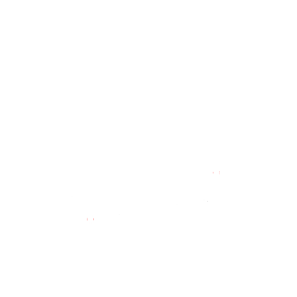 CCCCCCC(C)Oc1ccc(C(=O)C(C)C)cc1